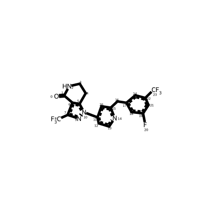 O=C1NCCc2c1c(C(F)(F)F)nn2-c1ccnc(Cc2cc(F)cc(C(F)(F)F)c2)c1